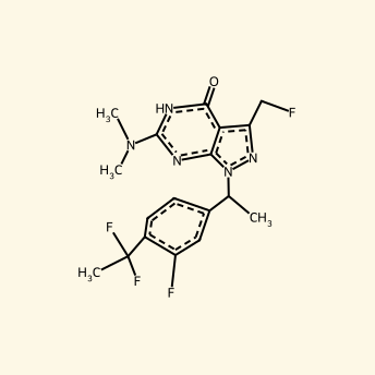 CC(c1ccc(C(C)(F)F)c(F)c1)n1nc(CF)c2c(=O)[nH]c(N(C)C)nc21